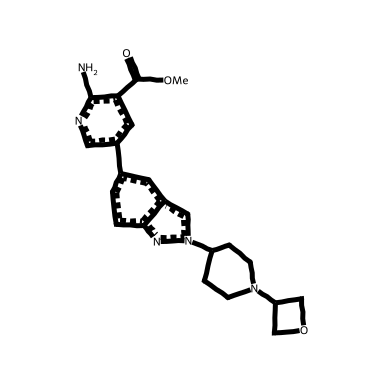 COC(=O)c1cc(-c2ccc3nn(C4CCN(C5COC5)CC4)cc3c2)cnc1N